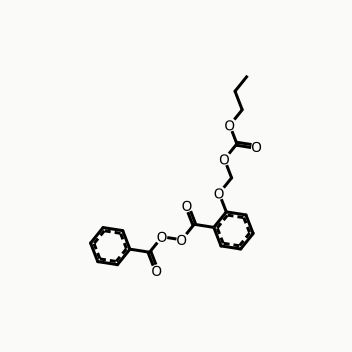 CCCOC(=O)OCOc1ccccc1C(=O)OOC(=O)c1ccccc1